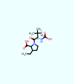 CCC1CCN(C(=O)[C@@H](NC(=O)O)C(C)(C)C)C1C(=O)O